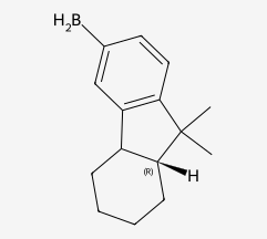 Bc1ccc2c(c1)C1CCCC[C@H]1C2(C)C